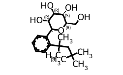 CC(C)(C)CC(C)(C)c1ccccc1[C]1O[C@H](CO)[C@@H](O)[C@H](O)[C@@H]1O